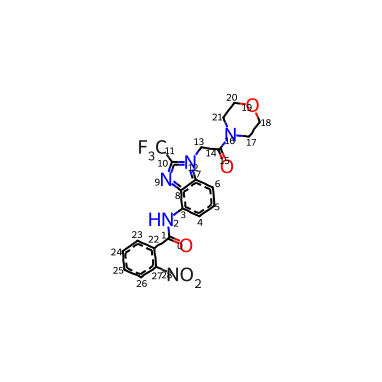 O=C(Nc1cccc2c1nc(C(F)(F)F)n2CC(=O)N1CCOCC1)c1ccccc1[N+](=O)[O-]